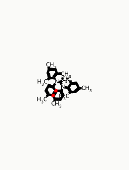 Cc1ccc(N(c2c(C)cc(C)cc2C)C(C)N(c2ccc(C)cc2)c2c(C)cc(C)cc2C)cc1